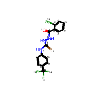 O=C(NNC(=S)Nc1ccc(C(F)(F)F)cc1)c1ccccc1Br